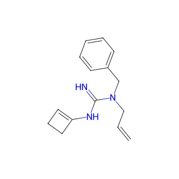 C=CCN(Cc1ccccc1)C(=N)NC1=CCC1